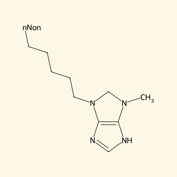 CCCCCCCCCCCCCCN1CN(C)c2[nH]cnc21